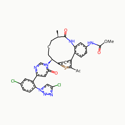 COC(=O)Nc1ccc2c(c1)NC(=O)[C@H](C)CCC[C@H](n1cnc(-c3cc(Cl)ccc3-n3cc(Cl)nn3)cc1=O)c1cc-2c(C(C)=O)s1